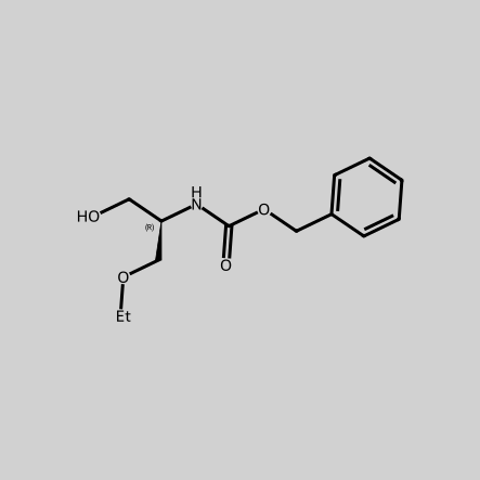 CCOC[C@@H](CO)NC(=O)OCc1ccccc1